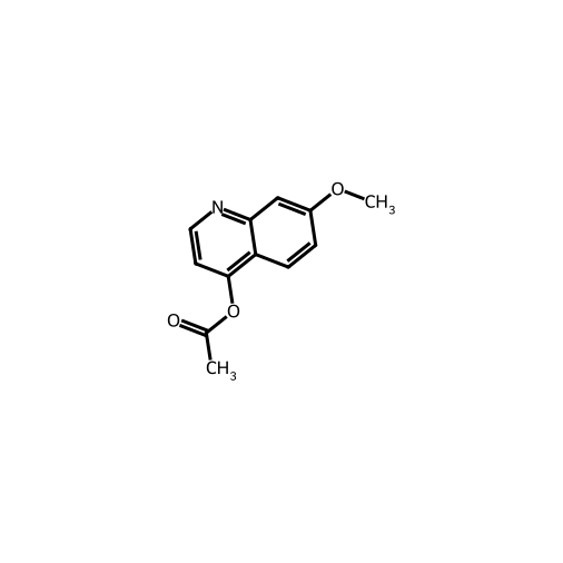 COc1ccc2c(OC(C)=O)ccnc2c1